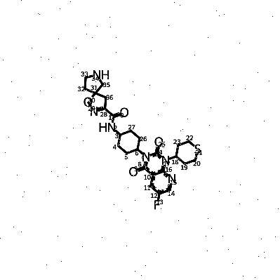 O=C(NC1CCC(n2c(=O)c3cc(F)cnc3n(C3CCSCC3)c2=O)CC1)C1=NOC2(CCNC2)C1